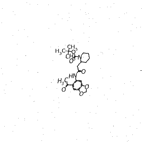 CC(=O)c1cc2c(cc1NC(=O)CC1CCCCN1C(=O)OC(C)(C)C)OCO2